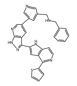 c1ccc(CNCc2cncc(-c3cnc4[nH]nc(-c5cc6c(-c7cccs7)nccc6[nH]5)c4c3)c2)cc1